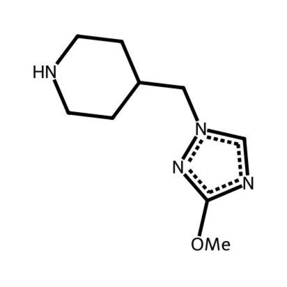 COc1ncn(CC2CCNCC2)n1